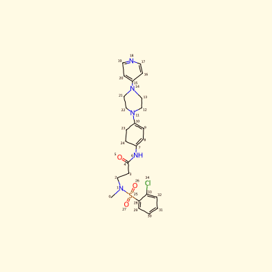 CN(CCC(=O)NC1=CC=C(N2CCN(c3ccncc3)CC2)CC1)S(=O)(=O)c1ccccc1Cl